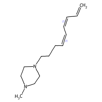 C=C/C=C\C=C/CCCN1CCN(C)CC1